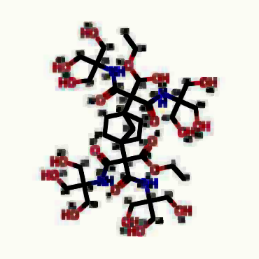 CCOC(=O)C(C(=O)NC(CO)(CO)CO)(C(=O)NC(CO)(CO)CO)C12CCC(C(C(=O)NC(CO)(CO)CO)(C(=O)NC(CO)(CO)CO)C(O)OCC)(CC1)C2